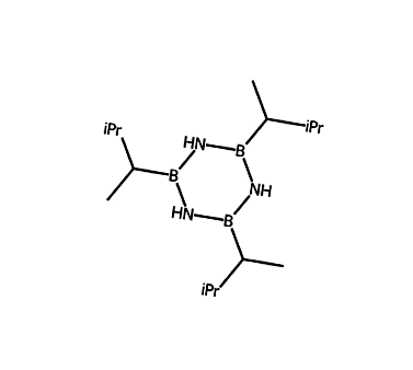 CC(C)C(C)B1NB(C(C)C(C)C)NB(C(C)C(C)C)N1